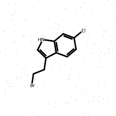 Clc1ccc2c(CCBr)c[nH]c2c1